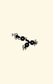 O=C(O)COc1ccc(SCC=C(c2ccc(C(F)(F)F)cc2)c2ccc(C(F)(F)F)cc2)cc1